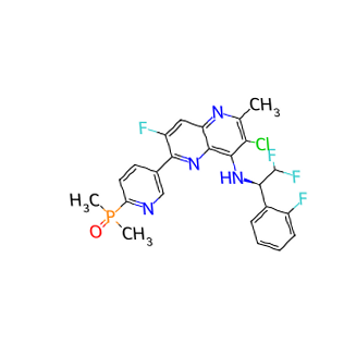 Cc1nc2cc(F)c(-c3ccc(P(C)(C)=O)nc3)nc2c(N[C@H](c2ccccc2F)C(F)F)c1Cl